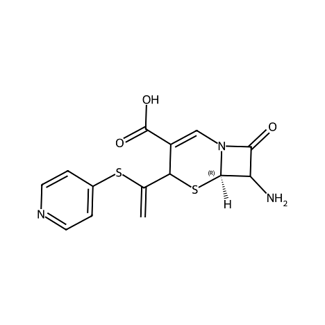 C=C(Sc1ccncc1)C1S[C@@H]2C(N)C(=O)N2C=C1C(=O)O